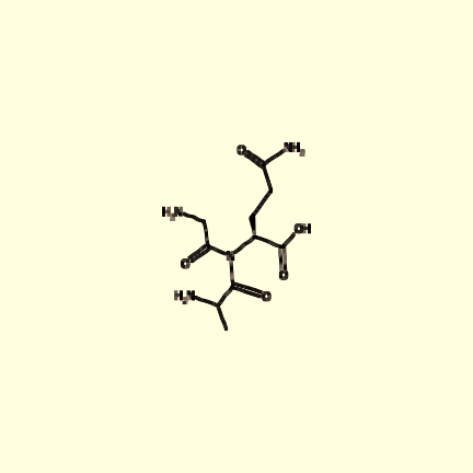 CC(N)C(=O)N(C(=O)CN)[C@@H](CCC(N)=O)C(=O)O